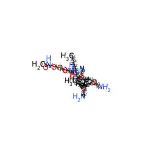 C=CC(=O)NCCOCCOCCOCCNC(=O)N(CCCCCCCC)CCC[C@@H](C)C1CC[C@H]2C3[C@H](OCCCN)CC4C[C@H](OCCCN)CCC4(C)[C@H]3C[C@H](OCCCN)[C@]12C